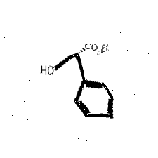 CCOC(=O)[C@@H](O)c1ccccc1